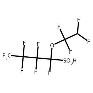 O=S(=O)(O)C(F)(OC(F)(F)C(F)F)C(F)(F)C(F)(F)C(F)(F)F